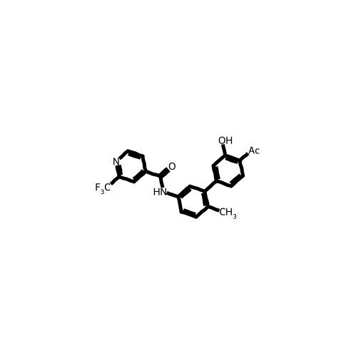 CC(=O)c1ccc(-c2cc(NC(=O)c3ccnc(C(F)(F)F)c3)ccc2C)cc1O